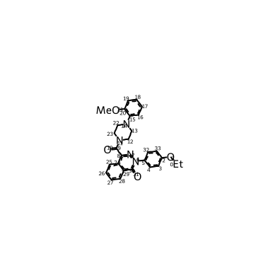 CCOc1ccc(-n2nc(C(=O)N3CCN(c4ccccc4OC)CC3)c3ccccc3c2=O)cc1